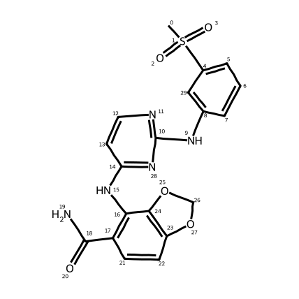 CS(=O)(=O)c1cccc(Nc2nccc(Nc3c(C(N)=O)ccc4c3OCO4)n2)c1